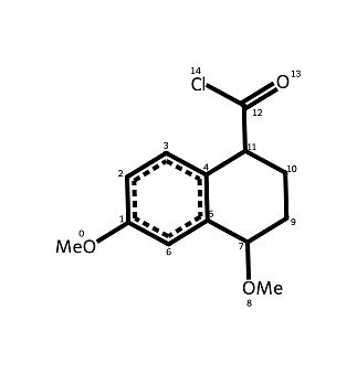 COc1ccc2c(c1)C(OC)CCC2C(=O)Cl